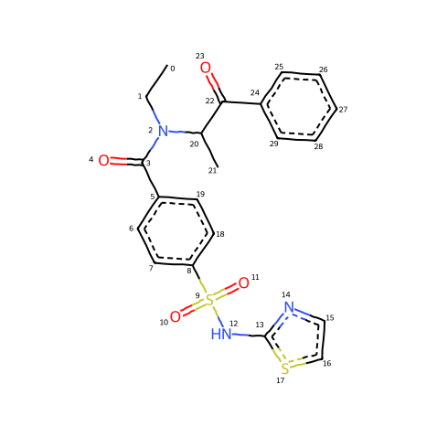 CCN(C(=O)c1ccc(S(=O)(=O)Nc2nccs2)cc1)C(C)C(=O)c1ccccc1